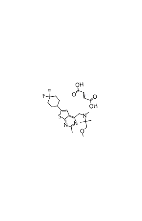 COCC(C)(C)N(C)Cc1nc(C)nc2sc(C3CCC(F)(F)CC3)cc12.O=C(O)/C=C/C(=O)O